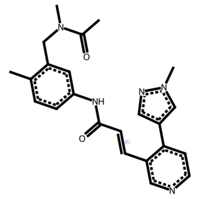 CC(=O)N(C)Cc1cc(NC(=O)/C=C/c2cnccc2-c2cnn(C)c2)ccc1C